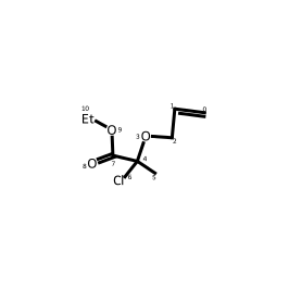 C=CCOC(C)(Cl)C(=O)OCC